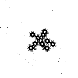 c1ccc(-c2ccc(N3B4c5cc6c(cc5N(c5ccc7c(c5)sc5ccccc57)c5cc(-c7ccccc7)cc(c54)-c4cc5ccccc5cc43)sc3ccccc36)cc2)cc1